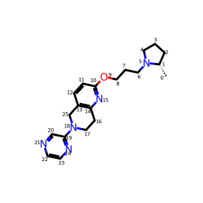 C[C@H]1CCCN1CCCOc1ccc2c(n1)CCN(c1cnccn1)C2